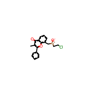 Cc1c(-c2ccccc2)oc2c(C[S+]([O-])CCCl)cccc2c1=O